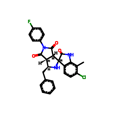 Cc1c(Cl)ccc2c1NC(=O)[C@]21N[C@@H](Cc2ccccc2)[C@H]2C(=O)N(c3ccc(F)cc3)C(=O)[C@H]21